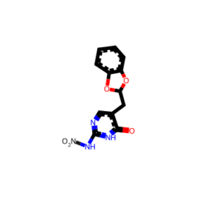 O=c1[nH]c(N[N+](=O)[O-])ncc1CC1Oc2ccccc2O1